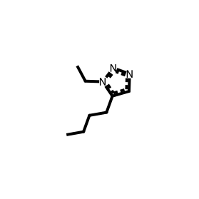 CCCCc1cnnn1CC